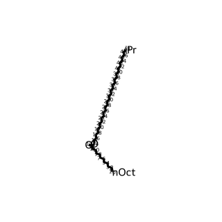 CCCCCCCCC=CCCCCCCCCCC(=O)OCCCCCCCCCCCCCCCCCCCCCCCCCCCCCCCCCC(C)C